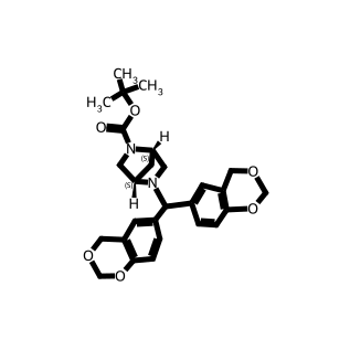 CC(C)(C)OC(=O)N1C[C@@H]2C[C@H]1CN2C(c1ccc2c(c1)COCO2)c1ccc2c(c1)COCO2